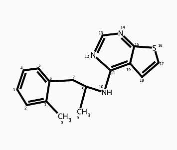 Cc1ccccc1CC(C)Nc1ncnc2sccc12